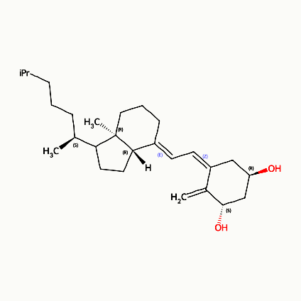 C=C1/C(=C\C=C2/CCC[C@]3(C)C([C@@H](C)CCCC(C)C)CC[C@@H]23)C[C@@H](O)C[C@@H]1O